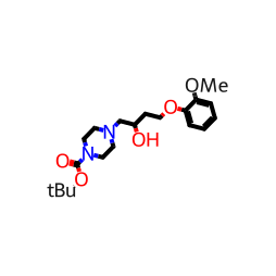 COc1ccccc1OCCC(O)CN1CCN(C(=O)OC(C)(C)C)CC1